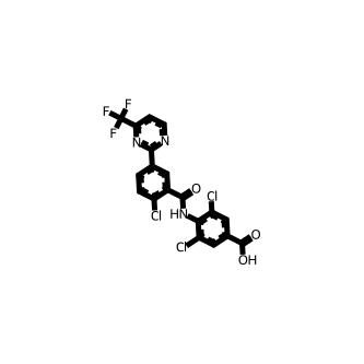 O=C(O)c1cc(Cl)c(NC(=O)c2cc(-c3nccc(C(F)(F)F)n3)ccc2Cl)c(Cl)c1